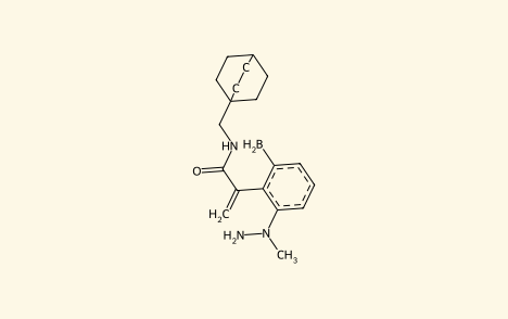 Bc1cccc(N(C)N)c1C(=C)C(=O)NCC12CCC(CC1)CC2